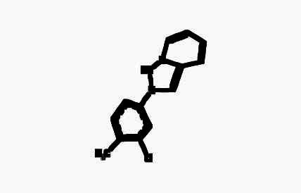 Cc1ccc(N2C=C3C=CC=CN3N2)cc1Cl